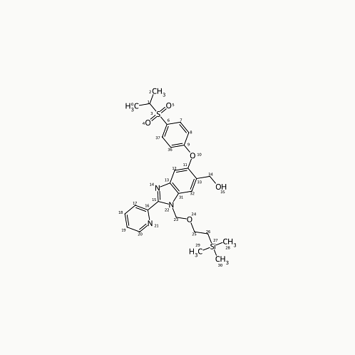 CC(C)S(=O)(=O)c1ccc(Oc2cc3nc(-c4ccccn4)n(COCC[Si](C)(C)C)c3cc2CO)cc1